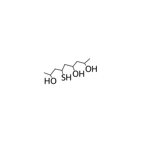 CC(O)CC(O)CC(S)CC(C)O